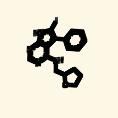 Ic1[nH]c2ncnc(NCC3CCCO3)c2c1-c1ccccc1